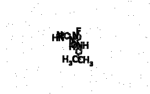 CC(C)c1ccc(NC(=O)c2ccc(F)nc2Nc2ccc3cn[nH]c3c2)cc1